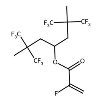 C=C(F)C(=O)OC(CC(C)(C(F)(F)F)C(F)(F)F)CC(C)(C(F)(F)F)C(F)(F)F